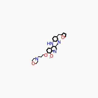 COc1c(OCCCN2CCOCC2)ccc2c(Nc3ccc(Cc4ccco4)cc3)c(C#N)cnc12